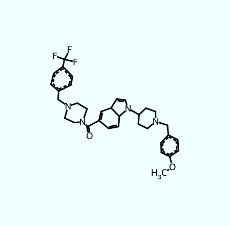 COc1ccc(CN2CCC(N3C=CC4C=C(C(=O)N5CCN(Cc6ccc(C(F)(F)F)cc6)CC5)C=CC43)CC2)cc1